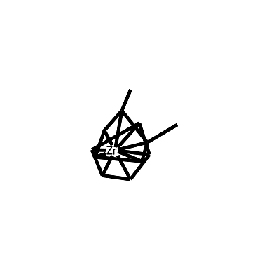 C[C]12[CH]3[CH]4[CH]5[C]1(C)[Zr]43521678[CH]2[CH]1[CH]6[CH]7[CH]28